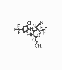 CCOC(=O)Nc1c(SC(F)(F)F)c(C#N)nn1-c1c(Cl)cc(C(F)(F)F)cc1Cl